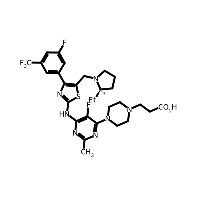 CC[C@@H]1CCCN1Cc1sc(Nc2nc(C)nc(N3CCN(CCC(=O)O)CC3)c2F)nc1-c1cc(F)cc(C(F)(F)F)c1